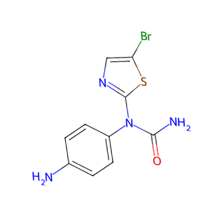 NC(=O)N(c1ccc(N)cc1)c1ncc(Br)s1